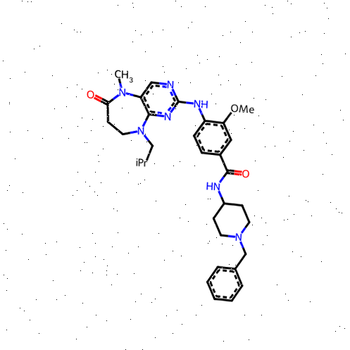 COc1cc(C(=O)NC2CCN(Cc3ccccc3)CC2)ccc1Nc1ncc2c(n1)N(CC(C)C)CCC(=O)N2C